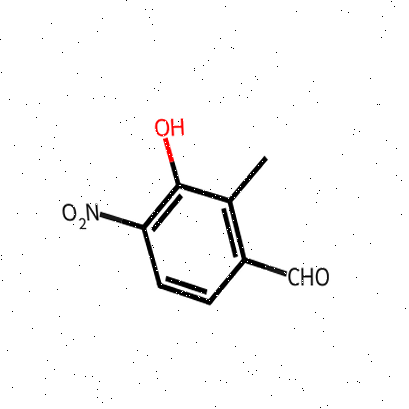 Cc1c(C=O)ccc([N+](=O)[O-])c1O